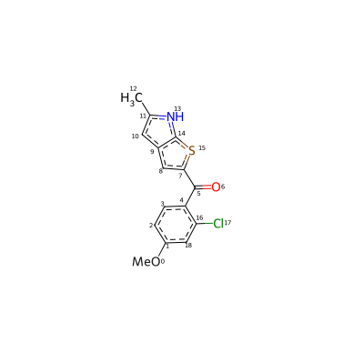 COc1ccc(C(=O)c2cc3cc(C)[nH]c3s2)c(Cl)c1